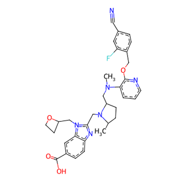 CC1CCC(CN(C)c2cccnc2OCc2ccc(C#N)cc2F)N1Cc1nc2ccc(C(=O)O)cc2n1CC1CCO1